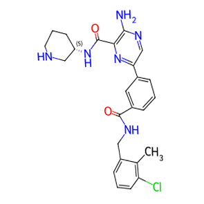 Cc1c(Cl)cccc1CNC(=O)c1cccc(-c2cnc(N)c(C(=O)N[C@H]3CCCNC3)n2)c1